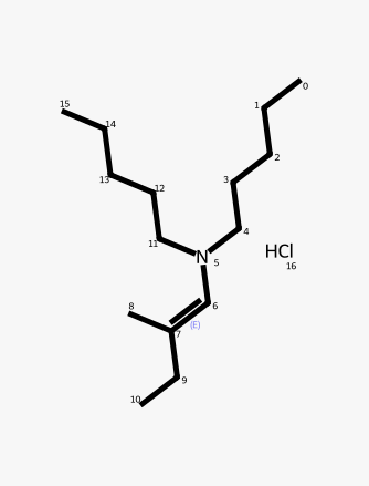 CCCCCN(/C=C(\C)CC)CCCCC.Cl